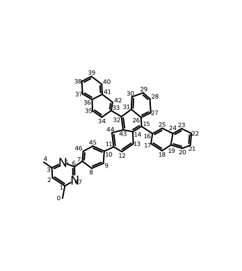 Cc1cc(C)nc(-c2ccc(-c3ccc4c(-c5ccc6ccccc6c5)c5ccccc5c(-c5ccc6ccccc6c5)c4c3)cc2)n1